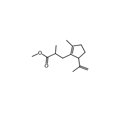 C=C(C)C1CCC(C)=C1CC(C)C(=O)OC